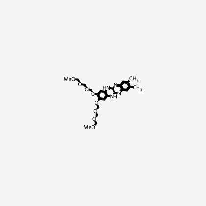 COCOCOCOc1cc2c(cc1OCOCOCOC)NC1N=c3cc(C)c(C)cc3=NC1N2